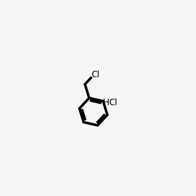 Cl.ClCc1ccccc1